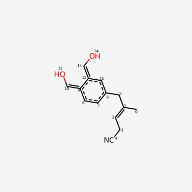 CC(=CCC#N)Cc1ccc(=CO)c(=CO)c1